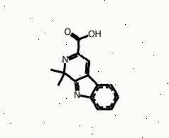 CC1(C)N=C(C(=O)O)C=C2C1=Nc1ccccc12